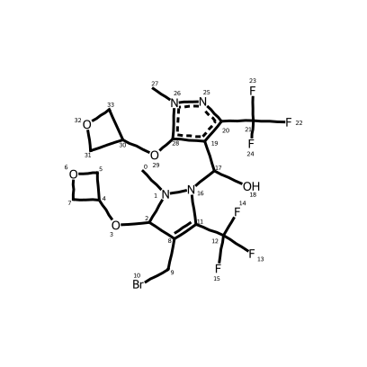 CN1C(OC2COC2)C(CBr)=C(C(F)(F)F)N1C(O)c1c(C(F)(F)F)nn(C)c1OC1COC1